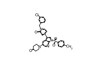 Cc1ccc(S(=O)(=O)n2cc(-c3ccn(Cc4cccc(Cl)c4)c(=O)c3)c3cc(N4CCC(=O)CC4)cnc32)cc1